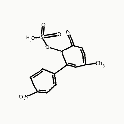 Cc1cc(-c2ccc([N+](=O)[O-])cc2)n(OS(C)(=O)=O)c(=O)c1